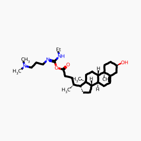 CCN/C(=N/CCCN(C)C)OC(=O)CC[C@@H](C)[C@H]1CC[C@H]2[C@@H]3CC=C4C[C@H](O)CC[C@]4(C)[C@H]3CC[C@]12C